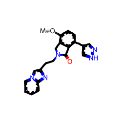 COc1ccc(-c2cn[nH]c2)c2c1CN(CCc1cn3ccccc3n1)C2=O